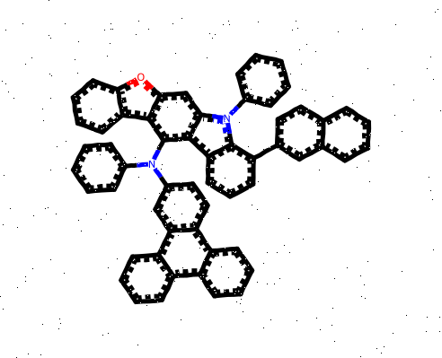 c1ccc(N(c2ccc3c4ccccc4c4ccccc4c3c2)c2c3c(cc4c2c2cccc(-c5ccc6ccccc6c5)c2n4-c2ccccc2)oc2ccccc23)cc1